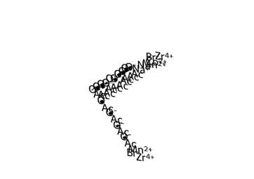 CC(=O)[O-].CC(=O)[O-].CC(=O)[O-].CC(=O)[O-].CC(=O)[O-].CC(=O)[O-].CC(=O)[O-].CC(=O)[O-].CC(=O)[O-].CC(=O)[O-].CC(=O)[O-].CC(=O)[O-].CC(=O)[O-].CC(=O)[O-].[Br-].[Br-].[Co+2].[Mn+2].[Mn+2].[Na+].[Na+].[Zr+4].[Zr+4]